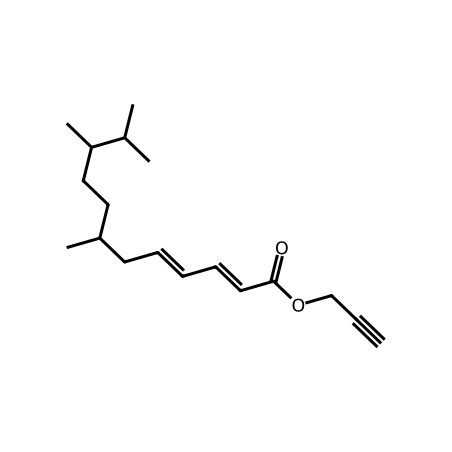 C#CCOC(=O)/C=C/C=C/CC(C)CCC(C)C(C)C